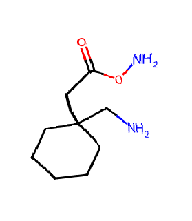 NCC1(CC(=O)ON)CCCCC1